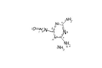 C=O.N.Nc1nc(N)nc(N)n1